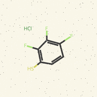 Cl.Fc1ccc(S)c(F)c1F